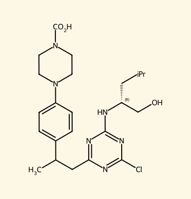 CC(C)C[C@H](CO)Nc1nc(Cl)nc(CC(C)c2ccc(N3CCN(C(=O)O)CC3)cc2)n1